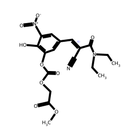 CCN(CC)C(=O)/C(C#N)=C/c1cc(OC(=O)OCC(=O)OC)c(O)c([N+](=O)[O-])c1